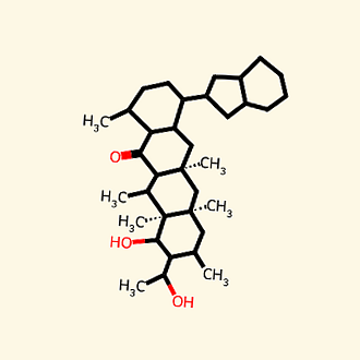 CC(O)C1C(C)C[C@]2(C)C[C@]3(C)CC4C(C5CC6CCCCC6C5)CCC(C)C4C(=O)C3C(C)[C@]2(C)C1O